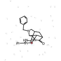 CC(C)CNC(=O)C12NC(=O)C3CC1CN(Cc1ccccc1)C2C3CC(C)C